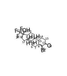 C[C@]12CC[C@H]3[C@@H](CCC4=C(Br)C(=O)CC[C@@H]43)[C@@H]1CC[C@@]2(O)C(F)(F)F